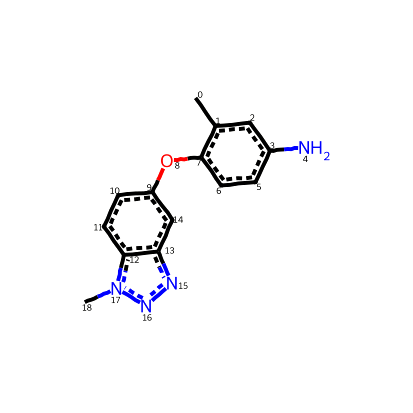 Cc1cc(N)ccc1Oc1ccc2c(c1)nnn2C